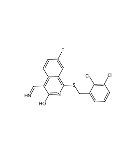 N=Cc1c(O)nc(SCc2cccc(Cl)c2Cl)c2cc(F)ccc12